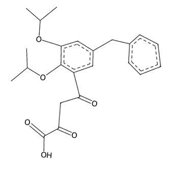 CC(C)Oc1cc(Cc2ccccc2)cc(C(=O)CC(=O)C(=O)O)c1OC(C)C